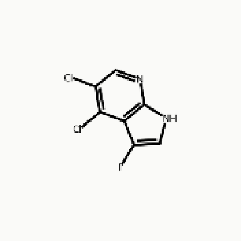 Clc1cnc2[nH]cc(I)c2c1Cl